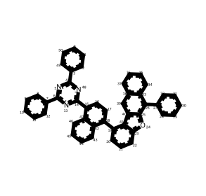 c1ccc(-c2nc(-c3ccccc3)nc(-c3ccc(-c4cccc5oc6c(-c7ccccc7)c7ccccc7cc6c45)c4ccccc34)n2)cc1